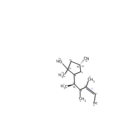 CC(=O)/C=C(/C)C(C)[C@@H](C)C1C[C@@H](C#N)CC1(C)O